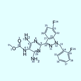 COC(=O)Nc1c(N)nc(-c2nn(Cc3ccccc3F)c3cc(F)ccc23)nc1N